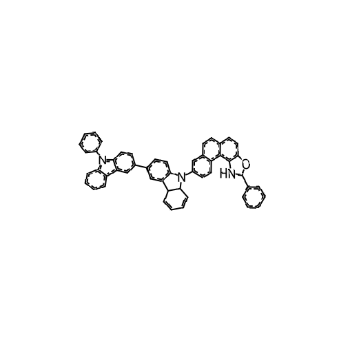 C1=CC2c3cc(-c4ccc5c(c4)c4ccccc4n5-c4ccccc4)ccc3N(c3ccc4c(ccc5ccc6c(c54)NC(c4ccccc4)O6)c3)C2C=C1